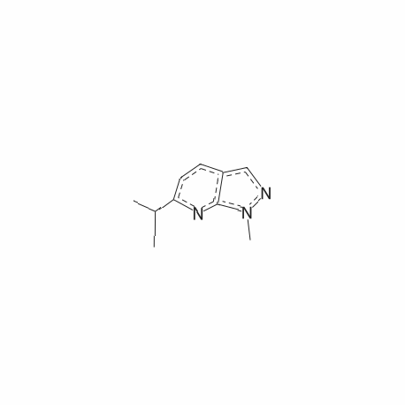 CC(C)c1ccc2cnn(C)c2n1